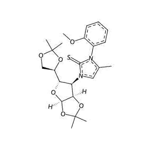 COc1ccccc1-n1c(C)cn([C@H]2[C@H]3OC(C)(C)O[C@H]3O[C@@H]2[C@H]2COC(C)(C)O2)c1=S